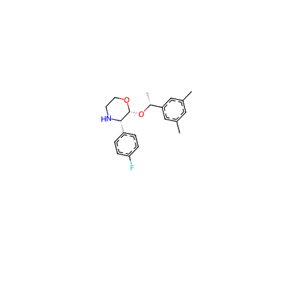 Cc1cc(C)cc([C@@H](C)O[C@H]2OCCN[C@H]2c2ccc(F)cc2)c1